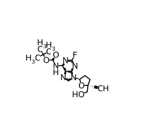 C#C[C@@]1(CO)CC[C@H](n2cnc3c(NC(=O)OC(C)(C)C)nc(F)nc32)O1